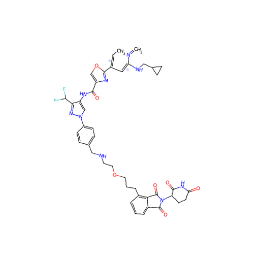 C=N/C(=C\C(=C/C)c1nc(C(=O)Nc2cn(-c3ccc(CNCCOCCCc4cccc5c4C(=O)N(C4CCC(=O)NC4=O)C5=O)cc3)nc2C(F)F)co1)NCC1CC1